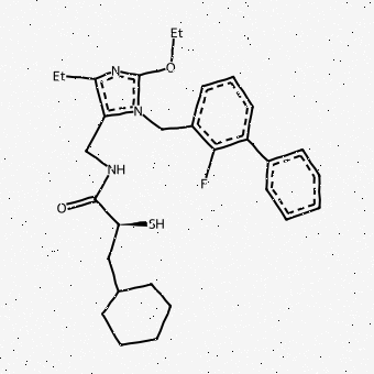 CCOc1nc(CC)c(CNC(=O)[C@@H](S)CC2CCCCC2)n1Cc1cccc(-c2ccccc2)c1F